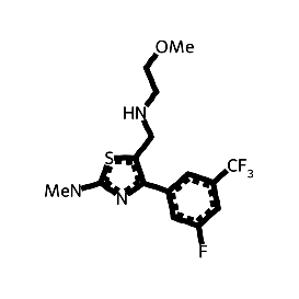 CNc1nc(-c2cc(F)cc(C(F)(F)F)c2)c(CNCCOC)s1